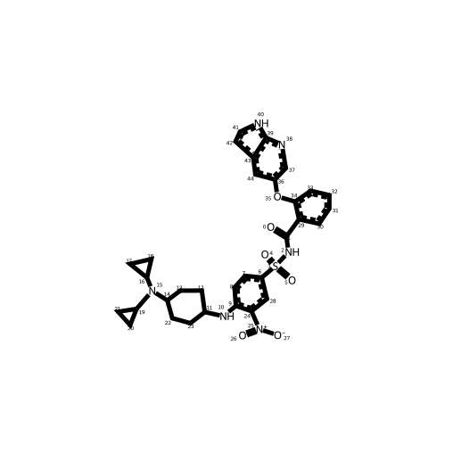 O=C(NS(=O)(=O)c1ccc(NC2CCC(N(C3CC3)C3CC3)CC2)c([N+](=O)[O-])c1)c1ccccc1Oc1cnc2[nH]ccc2c1